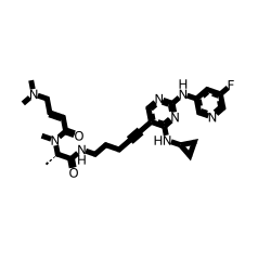 C[C@@H](C(=O)NCCCC#Cc1cnc(Nc2cncc(F)c2)nc1NC1CC1)N(C)C(=O)/C=C/CN(C)C